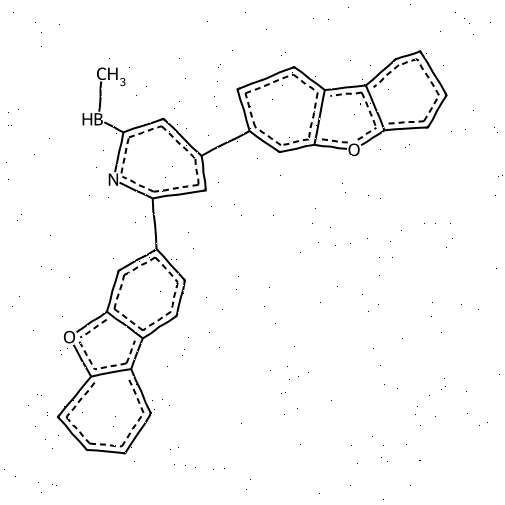 CBc1cc(-c2ccc3c(c2)oc2ccccc23)cc(-c2ccc3c(c2)oc2ccccc23)n1